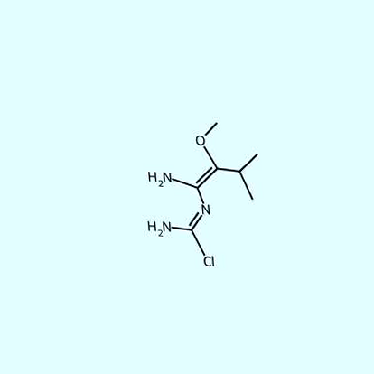 CO/C(=C(N)/N=C(\N)Cl)C(C)C